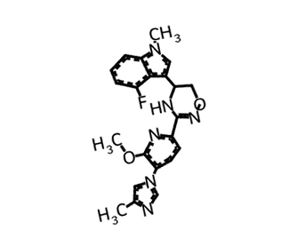 COc1nc(C2=NOCC(c3cn(C)c4cccc(F)c34)N2)ccc1-n1cnc(C)c1